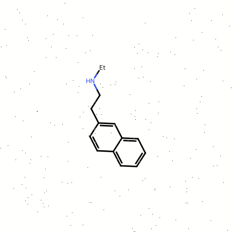 CCNCCc1ccc2ccccc2c1